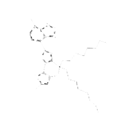 CCCCCCCCC1(CCCCCCCC)Oc2cc(C)sc2-c2sc(-c3ccc(C)c4nsnc34)cc21